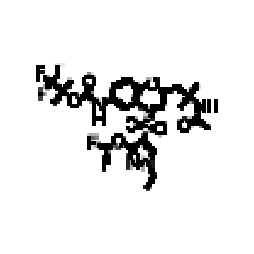 CCn1cc(S(=O)(=O)N2CC(CC(C)(C)NC(C)=O)Oc3ccc(NC(=O)OC(C)(C)C(F)(F)F)cc32)c(OC(F)F)n1